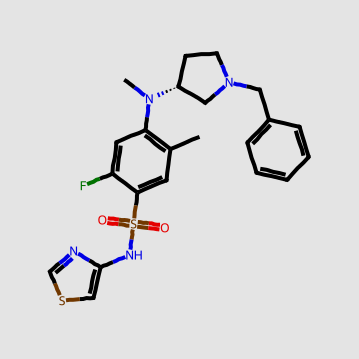 Cc1cc(S(=O)(=O)Nc2cscn2)c(F)cc1N(C)[C@@H]1CCN(Cc2ccccc2)C1